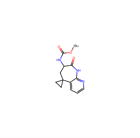 CC(C)(C)OC(=O)NC1CC2(CC2)c2cccnc2NC1=O